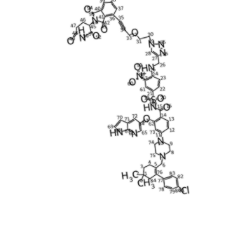 CC1(C)CCC(CN2CCN(c3ccc(C(=O)NS(=O)(=O)c4ccc(NCc5cn(CCOCC#Cc6cccc7c6C(=O)N(C6CCC(=O)NC6=O)C7=O)nn5)c([N+](=O)[O-])c4)c(Oc4cnc5[nH]ccc5c4)c3)CC2)=C(c2ccc(Cl)cc2)C1